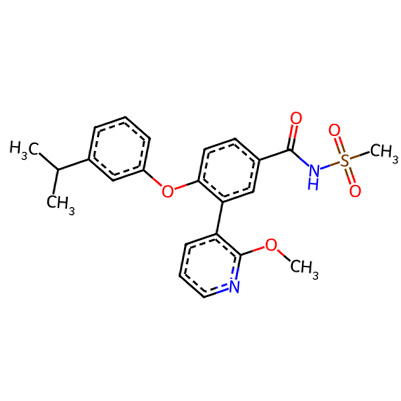 COc1ncccc1-c1cc(C(=O)NS(C)(=O)=O)ccc1Oc1cccc(C(C)C)c1